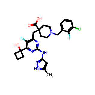 Cc1cc(Nc2nc(CC3(C(=O)O)CCN(Cc4cccc(Cl)c4F)CC3)c(F)c(C3(O)CCC3)n2)n[nH]1